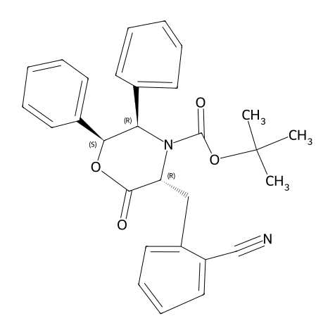 CC(C)(C)OC(=O)N1[C@H](Cc2ccccc2C#N)C(=O)O[C@@H](c2ccccc2)[C@H]1c1ccccc1